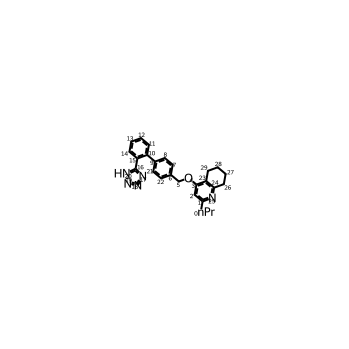 CCCc1cc(OCc2ccc(-c3ccccc3-c3nnn[nH]3)cc2)c2c(n1)CCCC2